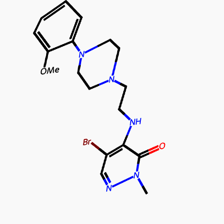 COc1ccccc1N1CCN(CCNc2c(Br)cnn(C)c2=O)CC1